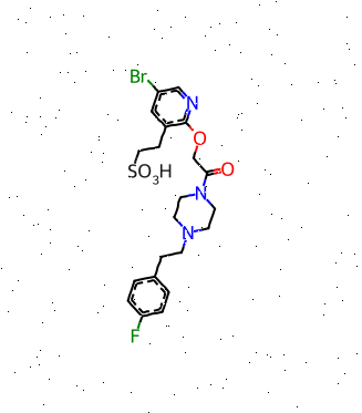 O=C(COc1ncc(Br)cc1CCS(=O)(=O)O)N1CCN(CCc2ccc(F)cc2)CC1